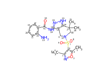 Cc1noc(C)c1S(=O)(=O)N1Cc2c(NC(=O)c3ccccc3N)n[nH]c2C(C)(C)C1